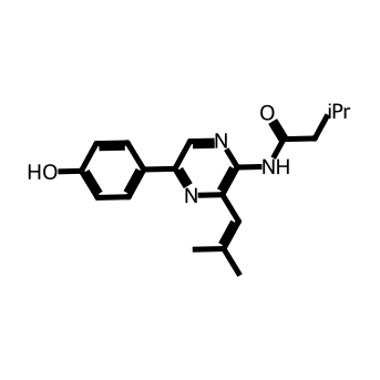 CC(C)=Cc1nc(-c2ccc(O)cc2)cnc1NC(=O)CC(C)C